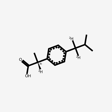 [2H]C([2H])(c1ccc([C@@]([2H])(C)C(=O)O)cc1)C(C)C